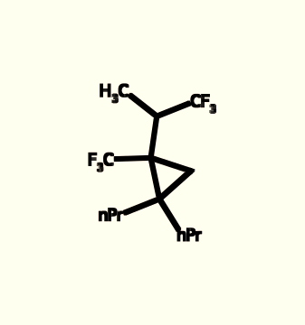 CCCC1(CCC)CC1(C(C)C(F)(F)F)C(F)(F)F